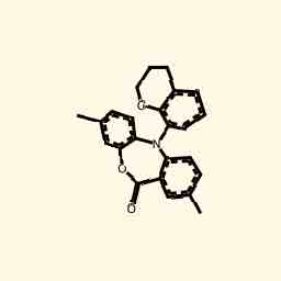 Cc1ccc2c(c1)OC(=O)c1cc(C)ccc1N2c1cccc2c1OCCC2